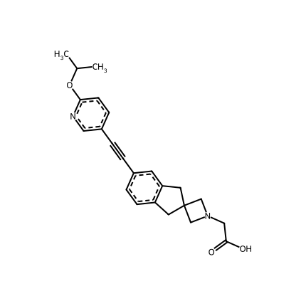 CC(C)Oc1ccc(C#Cc2ccc3c(c2)CC2(C3)CN(CC(=O)O)C2)cn1